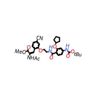 COC(=O)/C(=C\c1ccc(C#N)cc1OCCNC(=O)c1ccc(NC(=O)OC(C)(C)C)cc1OC1CCCC1)NC(C)=O